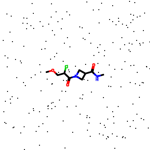 CNC(=O)C1CN(C(=O)C(Cl)COC)C1